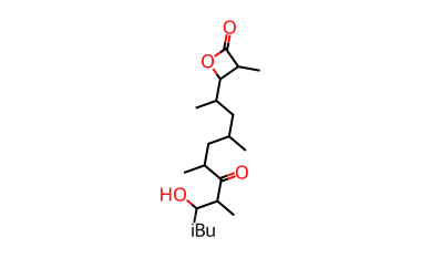 CCC(C)C(O)C(C)C(=O)C(C)CC(C)CC(C)C1OC(=O)C1C